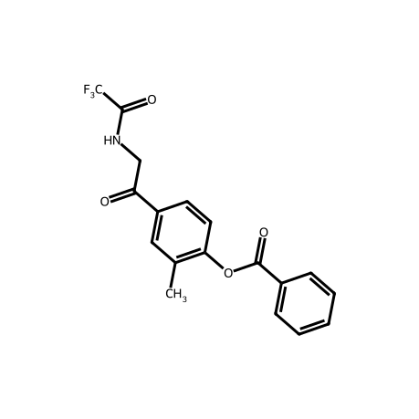 Cc1cc(C(=O)CNC(=O)C(F)(F)F)ccc1OC(=O)c1ccccc1